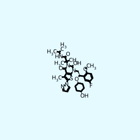 COc1ccc(F)cc1[C@H](CN1c2sc(-n3cccn3)c(C)c2C(=O)N(C(C)(C)C(=O)NC(C)C)C1O)O[C@H]1CC[C@@H](O)CC1